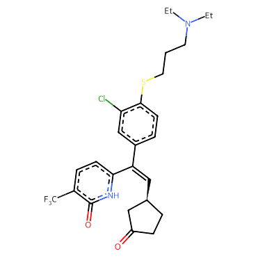 CCN(CC)CCCSc1ccc(/C(=C/[C@H]2CCC(=O)C2)c2ccc(C(F)(F)F)c(=O)[nH]2)cc1Cl